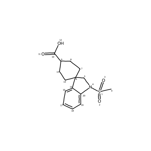 CS(=O)(=O)N1CC2(CCC(C(=O)O)CC2)c2ccccc21